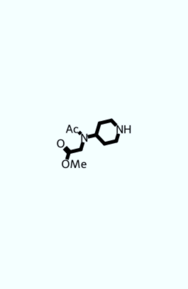 COC(=O)CN(C(C)=O)C1CCNCC1